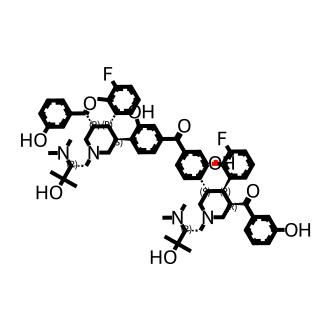 Cc1c(F)cccc1[C@H]1[C@@H](C(=O)c2cccc(O)c2)CN(C[C@@H](N(C)C)C(C)(C)O)C[C@@H]1c1ccc(C(=O)c2ccc([C@H]3CN(C[C@@H](N(C)C)C(C)(C)O)C[C@H](C(=O)c4cccc(O)c4)[C@@H]3c3cccc(F)c3C)c(O)c2)cc1O